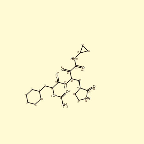 NC(=O)OC(CC1CCCCC1)C(=O)NC(C[C@@H]1CCNC1=O)C(=O)C(=O)NC1CC1